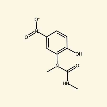 CNC(=O)N(C)c1cc([N+](=O)[O-])ccc1O